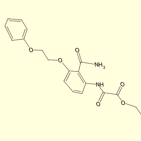 CCOC(=O)C(=O)Nc1cccc(OCCOc2ccccc2)c1C(N)=O